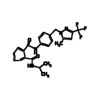 Cc1cc(C(F)(F)F)nn1Cc1ccc(NC(=O)c2ccccc2C(=O)NC(C)C)cc1